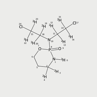 [2H]N1C([2H])([2H])CCOP1(=O)N(C([2H])([2H])C([2H])([2H])Cl)C([2H])([2H])C([2H])([2H])Cl